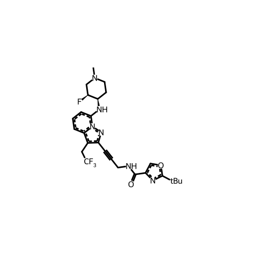 CN1CC[C@@H](Nc2cccc3c(CC(F)(F)F)c(C#CCNC(=O)c4coc(C(C)(C)C)n4)nn23)[C@@H](F)C1